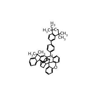 CC1(C)CCC(C)(C)c2cc(-c3ccc(N(c4ccc5c(c4)C(C)(C)c4ccccc4-5)c4cccc5c4C4(c6ccccc6O5)C5CC6CC(C5)C4C6)cc3)ccc21